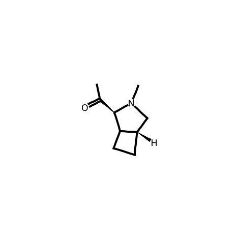 CC(=O)[C@@H]1C2CC[C@H]2CN1C